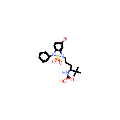 CC(C)(C)C(CCCN1c2cc(Br)ccc2N(c2ccccc2)S1(=O)=O)NC(=O)O